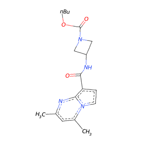 CCCCOC(=O)N1CC(NC(=O)c2ccn3c(C)cc(C)nc23)C1